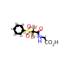 O=C(O)CNC(=O)C(Br)(Br)S(=O)(=O)c1ccccc1